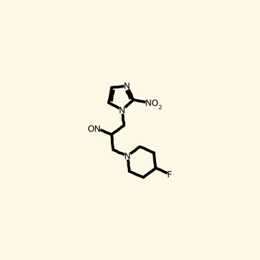 O=NC(CN1CCC(F)CC1)Cn1ccnc1[N+](=O)[O-]